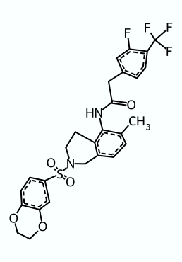 Cc1ccc2c(c1NC(=O)Cc1ccc(C(F)(F)F)c(F)c1)CCN(S(=O)(=O)c1ccc3c(c1)OCCO3)C2